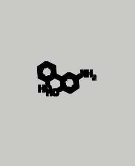 Nc1ccc(O)c(-c2ccccc2O)c1